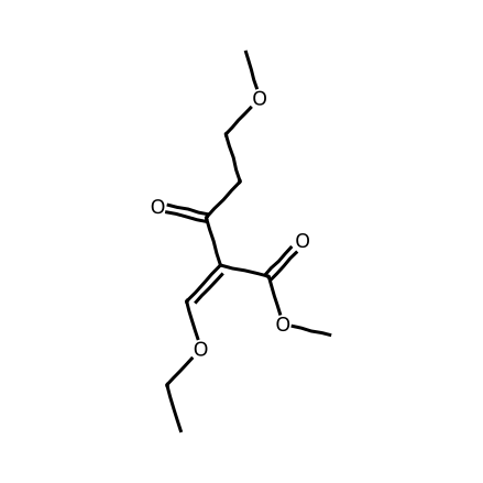 CCO/C=C(/C(=O)CCOC)C(=O)OC